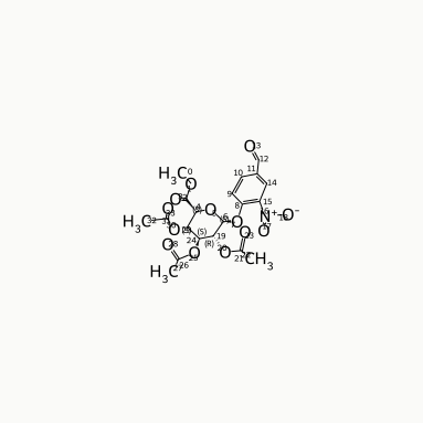 COC(=O)[C@H]1O[C@@H](Oc2ccc(C=O)cc2[N+](=O)[O-])[C@H](OC(C)=O)[C@@H](OC(C)=O)[C@@H]1OC(C)=O